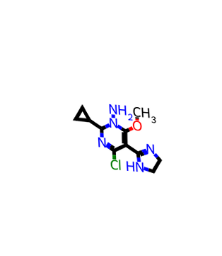 COC1=C(C2=NCCN2)C(Cl)=NC(C2CC2)N1N